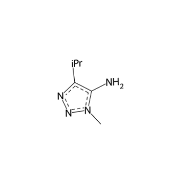 CC(C)c1nnn(C)c1N